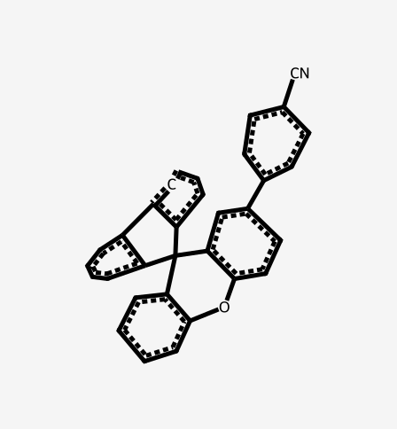 N#Cc1ccc(-c2ccc3c(c2)C2(c4ccccc4O3)c3ccccc3-c3ccccc32)cc1